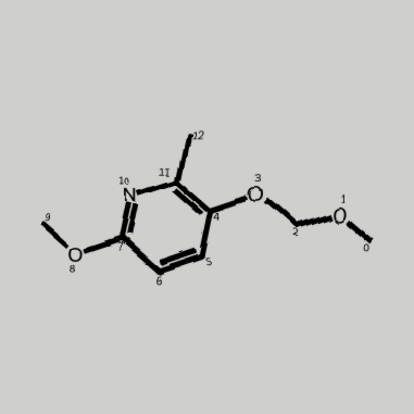 COCOc1ccc(OC)nc1C